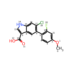 COc1ccc(-c2cc3c(C(=O)O)c[nH]c3cc2Cl)c(F)c1